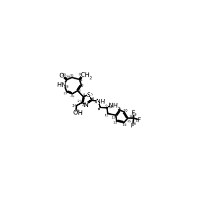 C=C1/C=C(c2sc(NC[C@@H](N)Cc3ccc(C(F)(F)F)cc3)nc2CO)\C=C/NC(=O)C1